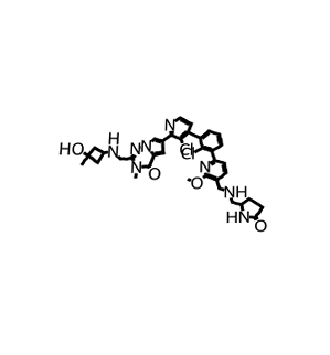 COc1nc(-c2cccc(-c3ccnc(-c4cc5c(=O)n(C)c(CNC6CC(C)(O)C6)nn5c4)c3Cl)c2Cl)ccc1CNCC1CCC(=O)N1